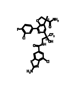 C[C@]1(C(N)=O)COc2c1cc([C@@](O)(CNC(=O)c1cc(Cl)c3nc(N)sc3c1)C(F)(F)F)nc2-c1ccc(F)c(Cl)c1